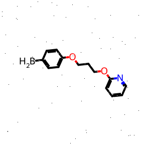 Bc1ccc(OCCCOc2ccccn2)cc1